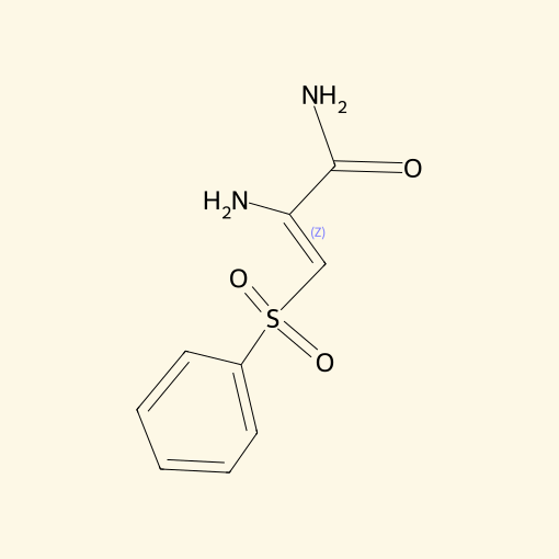 NC(=O)/C(N)=C/S(=O)(=O)c1ccccc1